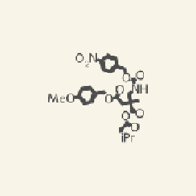 COc1ccc(COC(=O)CC(C)(CNC(=O)OCc2ccc([N+](=O)[O-])cc2)C(=O)OC(=O)CC(C)C)cc1